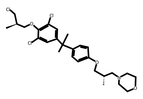 C[C@H](COc1ccc(C(C)(C)c2cc(Cl)c(OC[C@@H](C)CCl)c(Cl)c2)cc1)CN1CCOCC1